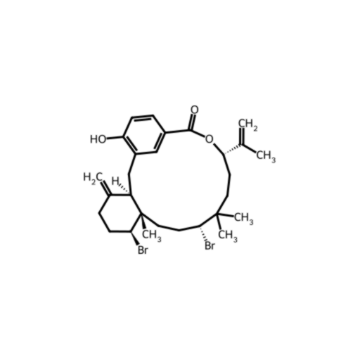 C=C(C)[C@@H]1CCC(C)(C)[C@H](Br)CC[C@@]2(C)[C@H](Cc3cc(ccc3O)C(=O)O1)C(=C)CC[C@@H]2Br